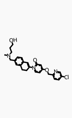 CN(CCCO)Cc1ccc2c(c1)CCC(n1ccc(OCc3ccc(Cl)cn3)cc1=O)=C2